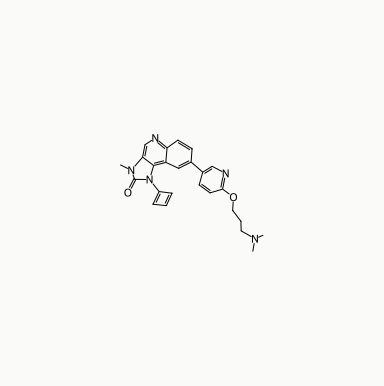 CN(C)CCCOc1ccc(-c2ccc3ncc4c(c3c2)n(C2=CC=C2)c(=O)n4C)cn1